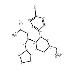 CC(CN(CC1CCCC1)[C@@H]1CC[C@@H](CC(=O)O)C[C@H]1c1ccc(Cl)cc1)C(F)(F)F